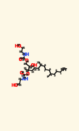 CC(C)CCCC(C)CCCC(C)CCCC(C)(OC(=O)NCCO)C(O)COC(=O)NCCO